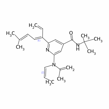 C=C/C(=C\C=C(C)C)c1cc(C(=O)NC(C)(C)C)cc(N(/C=C\C)C(=C)C)n1